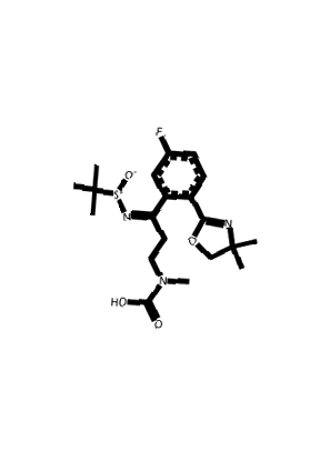 CN(CC/C(=N/[S+]([O-])C(C)(C)C)c1cc(F)ccc1C1=NC(C)(C)CO1)C(=O)O